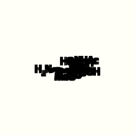 COC(=O)[C@@]1(OCCCSCCN)C[C@@H](O)[C@@H](NC(C)=O)C([C@H](O)[C@H](O)CO)O1